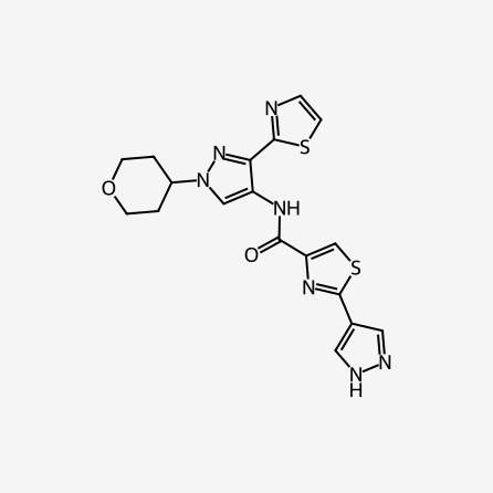 O=C(Nc1cn(C2CCOCC2)nc1-c1nccs1)c1csc(-c2cn[nH]c2)n1